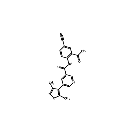 Cc1noc(C)c1-c1cncc(C(=O)Nc2ccc(C#N)cc2C(=O)O)c1